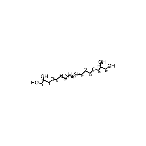 OCC(O)COCCC[SiH2]O[SiH2]CCCOCC(O)CO